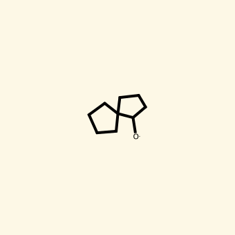 [O]C1CCCC12CCCC2